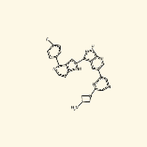 NC1CN(c2cncc(-c3cnc4[nH]nc(-c5cc6c(-c7ccc(F)cc7)nccc6[nH]5)c4c3)n2)C1